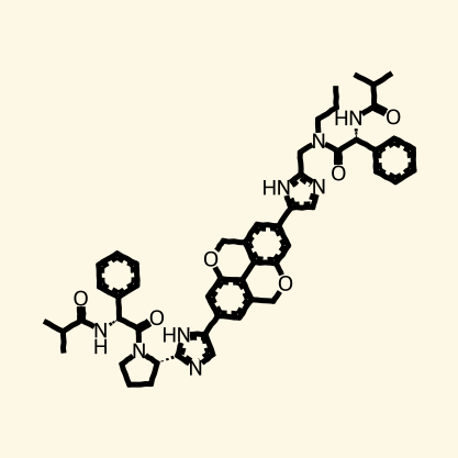 CCCN(Cc1ncc(-c2cc3c4c(c2)OCc2cc(-c5cnc([C@@H]6CCCN6C(=O)[C@H](NC(=O)C(C)C)c6ccccc6)[nH]5)cc(c2-4)OC3)[nH]1)C(=O)[C@H](NC(=O)C(C)C)c1ccccc1